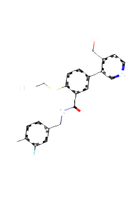 CCSc1ccc(-c2cnccc2CO)cc1C(=O)NCc1ccc(C)c(F)c1